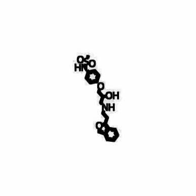 CS(=O)(=O)Nc1ccc(OCC(O)CNCCc2occ3ccccc23)cc1